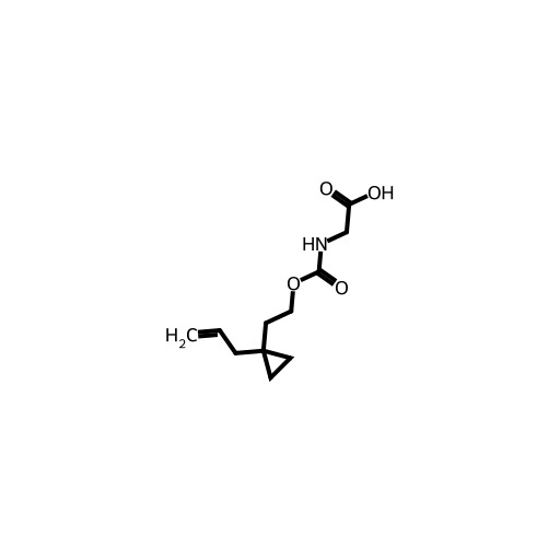 C=CCC1(CCOC(=O)NCC(=O)O)CC1